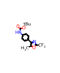 Cc1oc(C(F)(F)F)nc1-c1ccc(NC(=O)OC(C)(C)C)cc1